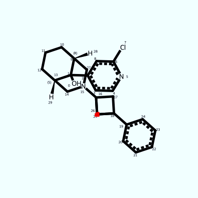 OC1(c2ccnc(Cl)c2)[C@@H]2CCC[C@H]1CN(C13CC(c4ccccc4)(C1)C3)C2